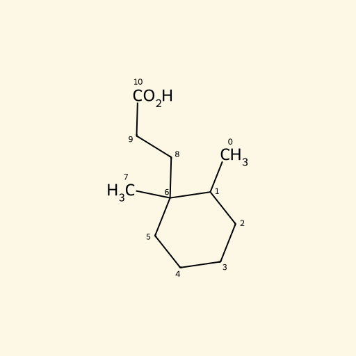 CC1CCCCC1(C)CCC(=O)O